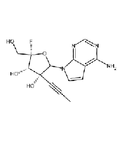 CC#C[C@]1(O)C(n2ccc3c(N)ncnc32)O[C@](F)(CO)[C@H]1O